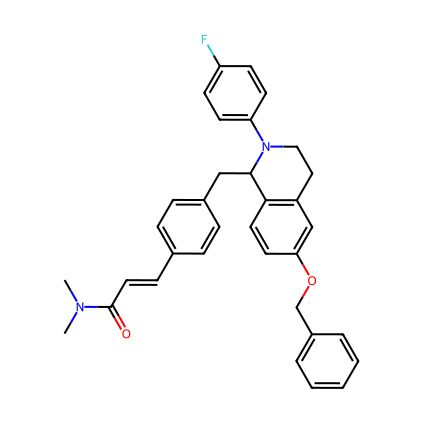 CN(C)C(=O)C=Cc1ccc(CC2c3ccc(OCc4ccccc4)cc3CCN2c2ccc(F)cc2)cc1